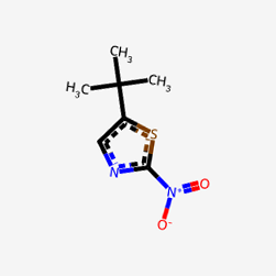 CC(C)(C)c1cnc([N+](=O)[O-])s1